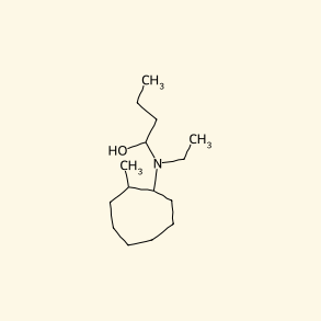 CCCC(O)N(CC)C1CCCCCCC1C